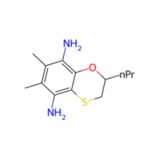 CCCC1CSc2c(N)c(C)c(C)c(N)c2O1